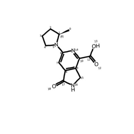 C[C@@H]1CCCN1c1cc2c(c(C(=O)O)n1)CNC2=O